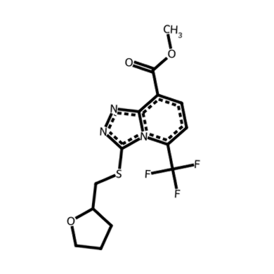 COC(=O)c1ccc(C(F)(F)F)n2c(SCC3CCCO3)nnc12